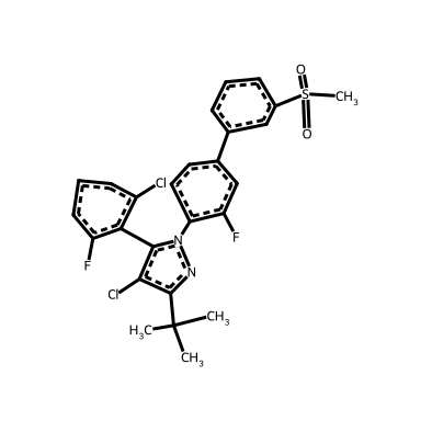 CC(C)(C)c1nn(-c2ccc(-c3cccc(S(C)(=O)=O)c3)cc2F)c(-c2c(F)cccc2Cl)c1Cl